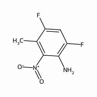 Cc1c(F)cc(F)c(N)c1[N+](=O)[O-]